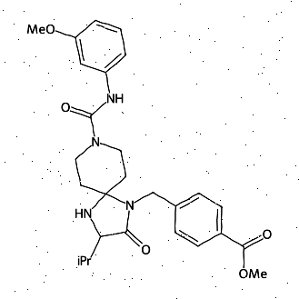 COC(=O)c1ccc(CN2C(=O)C(C(C)C)NC23CCN(C(=O)Nc2cccc(OC)c2)CC3)cc1